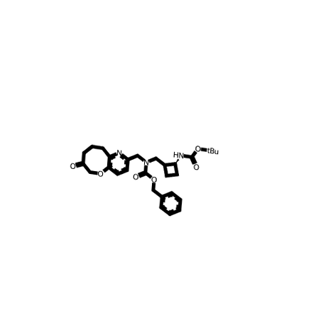 CC(C)(C)OC(=O)N[C@@H]1CCC1CN(Cc1ccc2c(n1)CCCC(=O)CO2)C(=O)OCc1ccccc1